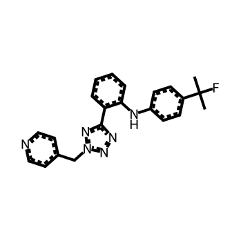 CC(C)(F)c1ccc(Nc2ccccc2-c2nnn(Cc3ccncc3)n2)cc1